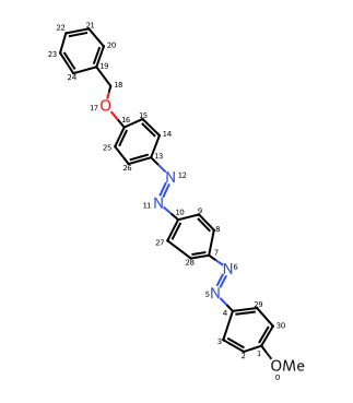 COc1ccc(N=Nc2ccc(N=Nc3ccc(OCc4ccccc4)cc3)cc2)cc1